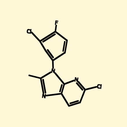 Cc1nc2ccc(Cl)nc2n1-c1ccc(F)c(Cl)c1